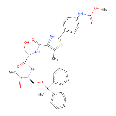 COC(=O)[C@H](CO[Si](c1ccccc1)(c1ccccc1)C(C)(C)C)NC(=O)[C@H](CO)NC(=O)c1nc(-c2ccc(NC(=O)OC(C)(C)C)cc2)sc1C